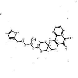 O=C1C(=O)c2ccccc2C2=C1SCC1(CCN(CC(O)COCc3ccco3)CC1)O2